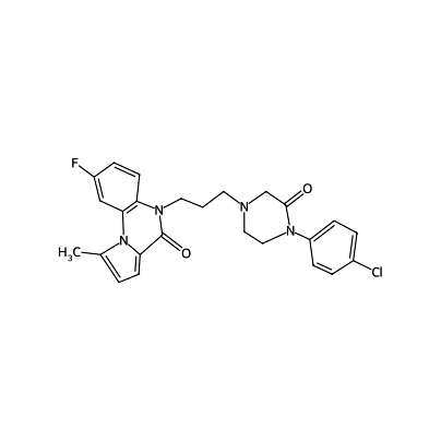 Cc1ccc2c(=O)n(CCCN3CCN(c4ccc(Cl)cc4)C(=O)C3)c3ccc(F)cc3n12